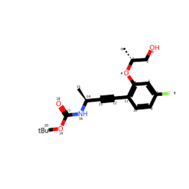 C[C@H](CO)Oc1cc(F)ccc1C#C[C@H](C)NC(=O)OC(C)(C)C